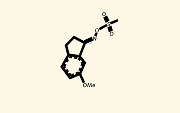 COc1ccc2c(c1)/C(=N/OS(C)(=O)=O)CC2